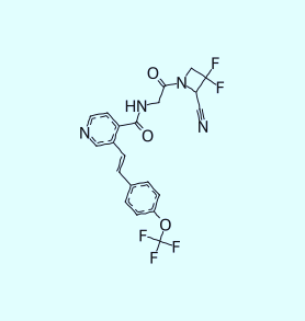 N#CC1N(C(=O)CNC(=O)c2ccncc2C=Cc2ccc(OC(F)(F)F)cc2)CC1(F)F